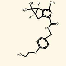 Cc1sc(C(=O)NCc2ccc(OCCO)cc2)c2c1[C@H]1[C@@H](C2)C1(C)C